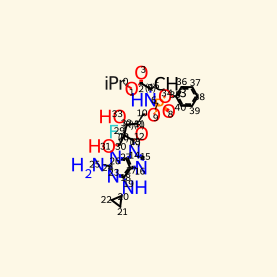 CC(C)OC(=O)[C@@H](C)NP(=O)(OC[C@H]1O[C@@H](n2cnc3c(NC4CC4)nc(N)nc32)[C@@](F)(CO)[C@@H]1O)Oc1ccccc1